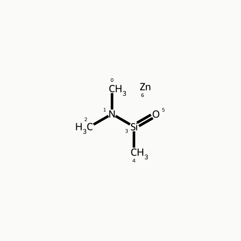 CN(C)[Si](C)=O.[Zn]